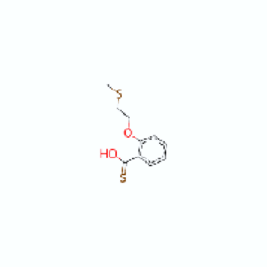 CSCCOc1ccccc1C(O)=S